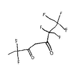 CC(F)(F)C(=O)CC(=O)C(F)(F)C(F)(F)F